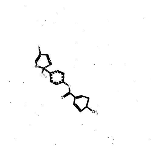 CC1C=CC(C(=O)Oc2ccc(C3(C)C=CC(I)=CN3)cc2)=CC1